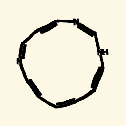 c1ccc[nH]cncccncc1